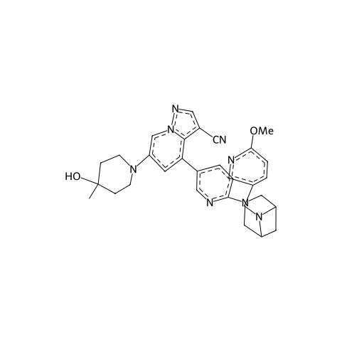 COc1ccc(CN2C3CC2CN(c2ccc(-c4cc(N5CCC(C)(O)CC5)cn5ncc(C#N)c45)cn2)C3)cn1